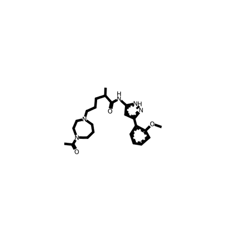 COc1ccccc1-c1cc(NC(=O)C(C)CCCN2CCCN(C(C)=O)CC2)[nH]n1